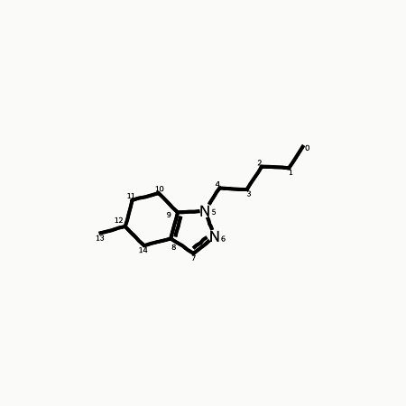 CCCCCn1ncc2c1CCC(C)C2